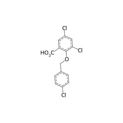 O=C(O)c1cc(Cl)cc(Cl)c1OCc1ccc(Cl)cc1